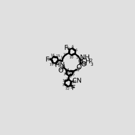 CC1(N)Cc2ccc(F)c(c2)CCC(c2ccc(F)cc2)NC(=O)c2cc(cc(-c3cccc(F)c3C#N)c2)COC1=O